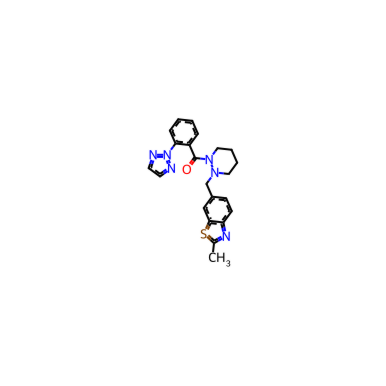 Cc1nc2ccc(CN3CCCCN3C(=O)c3ccccc3-n3nccn3)cc2s1